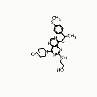 CSc1ccc(C(C)Sc2ncnc3c(N4CC[S+]([O-])CC4)nc(NCCO)nc23)cc1